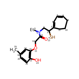 CCN(CC(S)C1=CC=CCCC1)C(=O)COc1cc(C)ccc1O